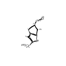 CCO[C@@H]1Cc2cc(C(=O)O)[nH]c2C1